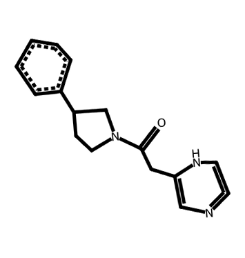 O=C(CC1=CN=C=CN1)N1CCC(c2ccccc2)C1